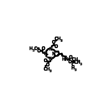 CCOC(=O)CN1CCN(CC(=O)OCC)Cc2cc(C=CCNC(=O)OC(C)(C)C)cc(n2)CN(CC(=O)OCC)CC1